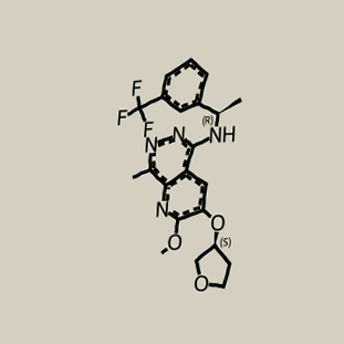 COc1nc2c(C)nnc(N[C@H](C)c3cccc(C(F)(F)F)c3)c2cc1O[C@H]1CCOC1